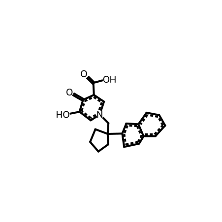 O=C(O)c1cn(CC2(c3ccc4ccccc4c3)CCCC2)cc(O)c1=O